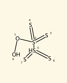 OOS(=S)(=S)[SH](=S)=S